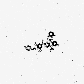 COc1cc(Nc2nccc(N(C(=O)Oc3c(C)cccc3C)c3ccc(F)cc3OC(C)C)n2)cc(OC)c1OCCN1CCN(C)CC1